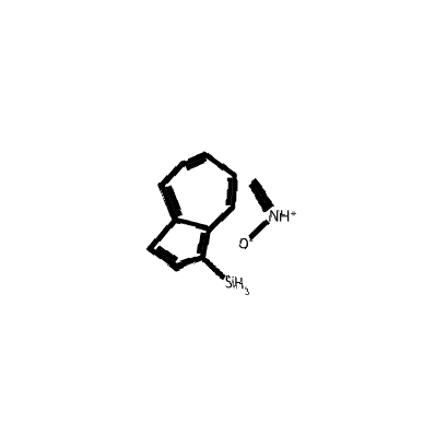 C=[NH+][O-].[SiH3]c1ccc2cccccc1-2